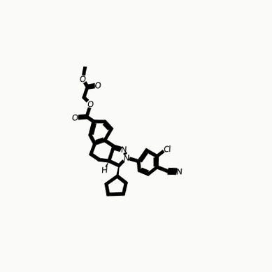 COC(=O)COC(=O)c1ccc2c(c1)CC[C@H]1C2=NN(c2ccc(C#N)c(Cl)c2)[C@H]1C1CCCC1